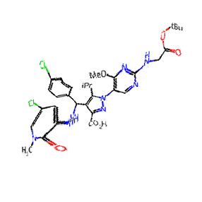 COc1nc(NCC(=O)OC(C)(C)C)ncc1-n1nc(C(=O)O)c(C(Nc2cc(Cl)cn(C)c2=O)c2ccc(Cl)cc2)c1C(C)C